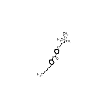 CCCCCCc1ccc(OC(=O)c2ccc(OCCC[Si](C)(C)OCC)cc2)cc1